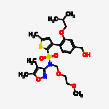 COCCOCN(c1noc(C)c1C)S(=O)(=O)c1sc(C)cc1-c1ccc(CO)cc1OCC(C)C